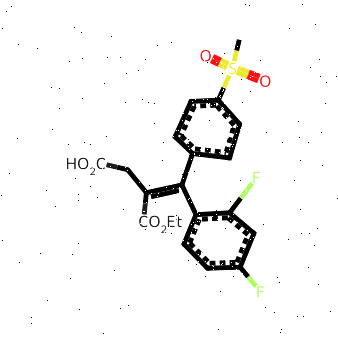 CCOC(=O)C(CC(=O)O)=C(c1ccc(S(C)(=O)=O)cc1)c1ccc(F)cc1F